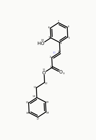 O=C(/C=C/c1ccccc1O)OCCc1ccccc1